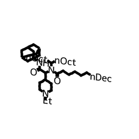 CCCCCCCCCCCCCCCC(=O)N(C(CCCCCCCC)CCCCCCCC)C(C(=O)NC12CC3CC(CC(C3)C1)C2)C1CCN(CC)CC1